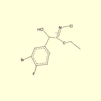 CCO/C(=N\Cl)C(O)c1ccc(F)c(Br)c1